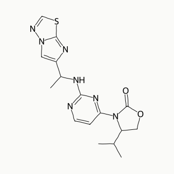 CC(Nc1nccc(N2C(=O)OCC2C(C)C)n1)c1cn2ncsc2n1